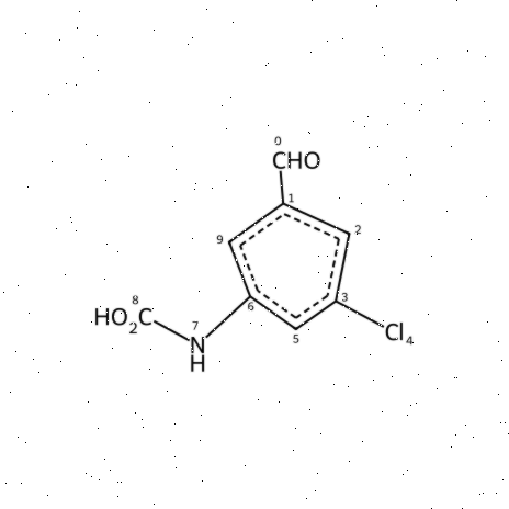 O=Cc1cc(Cl)cc(NC(=O)O)c1